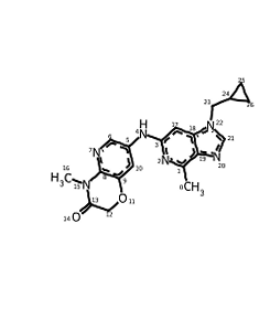 Cc1nc(Nc2cnc3c(c2)OCC(=O)N3C)cc2c1ncn2CC1CC1